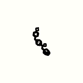 O=C(CC12CC3CC(C1)C(C3)C2)N1CCN(Cc2ccc(Cl)cc2)CC1